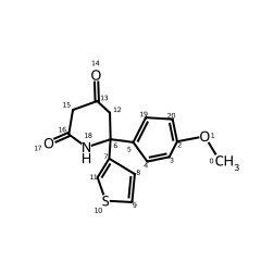 COc1ccc(C2(c3ccsc3)CC(=O)CC(=O)N2)cc1